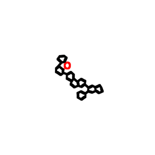 c1ccc(-c2cc3ccccc3cc2-c2ccc3c(ccc4cc(-c5cccc6c5oc5ccccc56)ccc43)c2)cc1